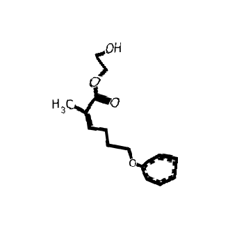 CC(=CCCCOc1ccccc1)C(=O)OCCO